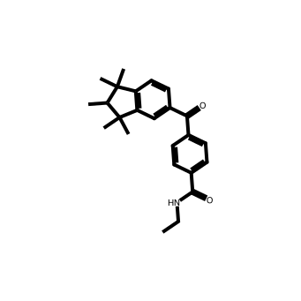 CCNC(=O)c1ccc(C(=O)c2ccc3c(c2)C(C)(C)C(C)C3(C)C)cc1